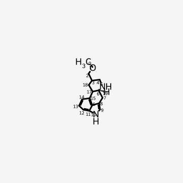 COCC1CN[C@@H]2Cc3c[nH]c4cccc(c34)C2C1